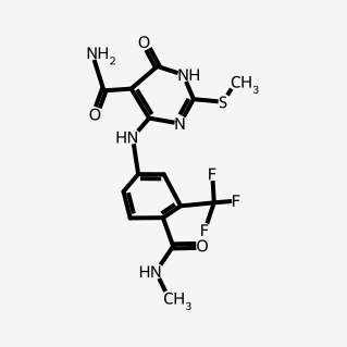 CNC(=O)c1ccc(Nc2nc(SC)[nH]c(=O)c2C(N)=O)cc1C(F)(F)F